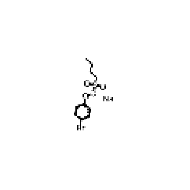 CCCCS(=O)(=O)OOc1ccc(Br)cc1.[Na]